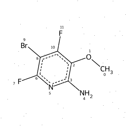 COc1c(N)nc(F)c(Br)c1F